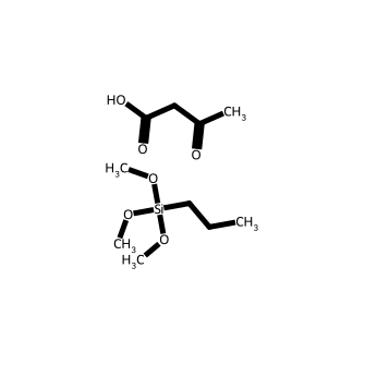 CC(=O)CC(=O)O.CCC[Si](OC)(OC)OC